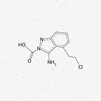 Nc1c2c(CCCl)cccc2nn1C(=O)O